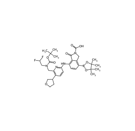 CC(C)(C)OC(=O)N(Cc1nc(Nc2ccc(B3OC(C)(C)C(C)(C)O3)c3c2C(=O)N(C(=O)O)C3)ccc1C1CCOC1)CC(F)F